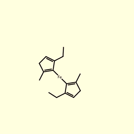 CCC1=CCC(C)=[C]1[Fe][C]1=C(C)CC=C1CC